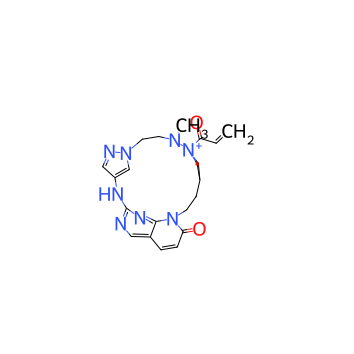 C=CC(=O)[N+]12CC(CCn3c(=O)ccc4cnc(nc43)Nc3cnn(c3)CCN1C)C2